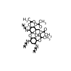 CC(=O)OCC1O[C@H](O[C@@H]2C(N=[N+]=[N-])C[C@@H](N=[N+]=[N-])C(OC(C)=O)[C@H]2O)C(N=[N+]=[N-])[C@@H](OC(C)=O)[C@@H]1OC(C)=O